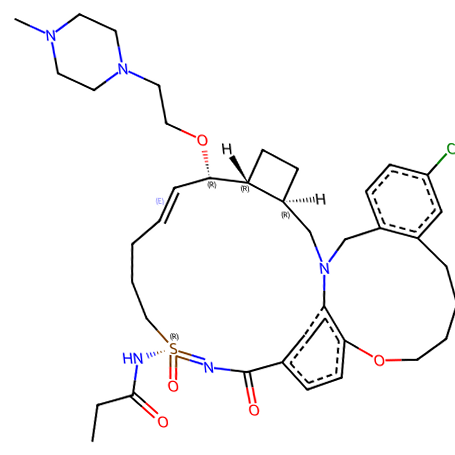 CCC(=O)N[S@@]1(=O)=NC(=O)c2ccc3c(c2)N(Cc2ccc(Cl)cc2CCCCO3)C[C@@H]2CC[C@H]2[C@@H](OCCN2CCN(C)CC2)/C=C/CCC1